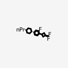 CCC[C@H]1CC[C@H](c2ccc(C3CC(=C(F)F)C3)c(F)c2)CC1